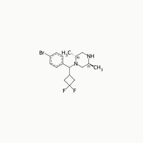 C[C@@H]1CN[C@@H](C)CN1C(c1ccc(Br)cc1)C1CC(F)(F)C1